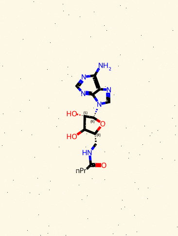 CCCC(=O)NC[C@H]1O[C@@H](n2cnc3c(N)ncnc32)[C@@H](O)C1O